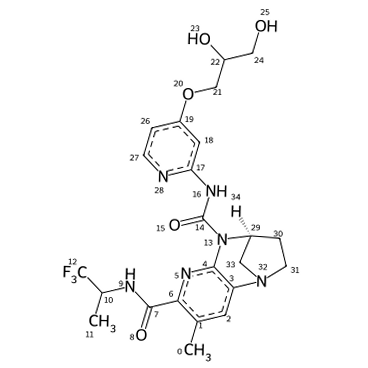 Cc1cc2c(nc1C(=O)NC(C)C(F)(F)F)N(C(=O)Nc1cc(OCC(O)CO)ccn1)[C@H]1CCN2C1